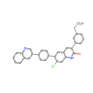 O=C(O)Cc1cccc(-c2cc3cc(-c4ccc(-c5cnc6ccccc6c5)cc4)c(Cl)cc3[nH]c2=O)c1